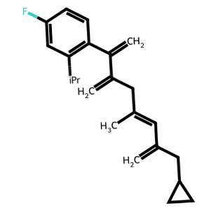 C=C(/C=C(\C)CC(=C)C(=C)c1ccc(F)cc1C(C)C)CC1CC1